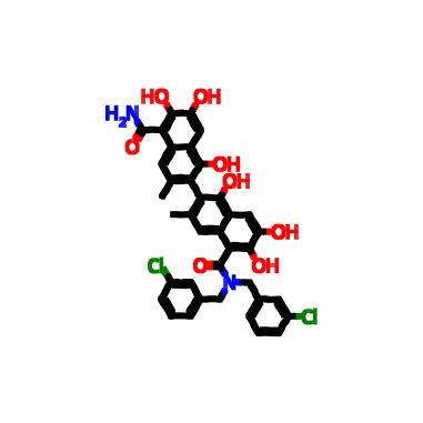 Cc1cc2c(C(N)=O)c(O)c(O)cc2c(O)c1-c1c(C)cc2c(C(=O)N(Cc3cccc(Cl)c3)Cc3cccc(Cl)c3)c(O)c(O)cc2c1O